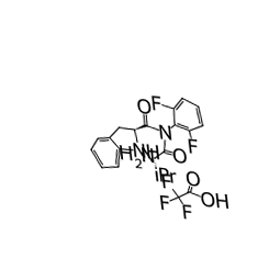 CC(C)[C@H](N)C(=O)N(C(=O)[C@@H]1Cc2ccccc2N1)c1c(F)cccc1F.O=C(O)C(F)(F)F